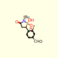 CC(C)(C)N1C(=O)CC(c2ccc(C=O)cc2F)S1(O)O